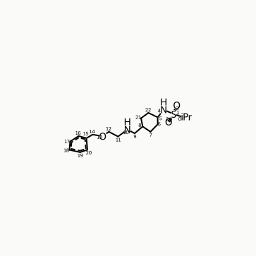 CC(C)S(=O)(=O)NC1CCC(CNCCOCc2ccccc2)CC1